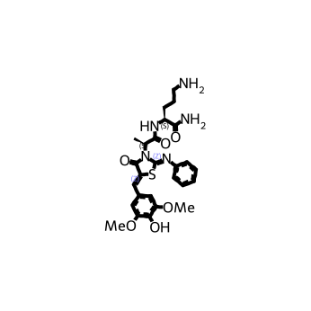 COc1cc(/C=C2\S/C(=N\c3ccccc3)N([C@@H](C)C(=O)N[C@@H](CCCN)C(N)=O)C2=O)cc(OC)c1O